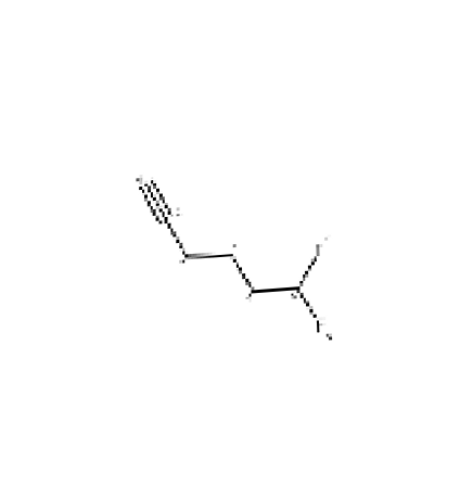 C#CCCCC(F)F